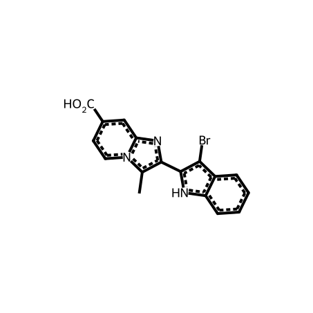 Cc1c(-c2[nH]c3ccccc3c2Br)nc2cc(C(=O)O)ccn12